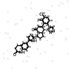 O=C1CCc2cc(-c3cnc([C@@H]4CCC5CC(c6c(-n7cnnn7)ccc(Cl)c6F)=CC(=O)N54)[nH]3)ccc2N1